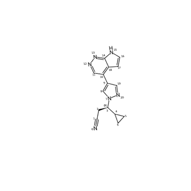 N#CC[C@H](C1CC1)n1cc(-c2cnnc3[nH]ccc23)cn1